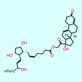 CCCCC[C@H](O)/C=C/[C@@H]1[C@@H](C/C=C\CCCC(=O)OCC(=O)[C@@]2(O)CC[C@H]3[C@@H]4CCC5=CC(=O)CC[C@]5(C)C4=CC[C@@]32C)[C@@H](O)C[C@H]1O